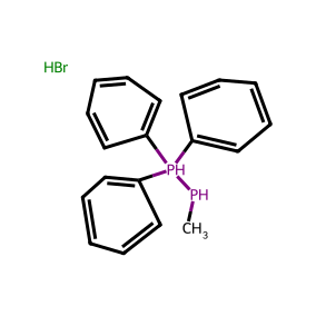 Br.CP[PH](c1ccccc1)(c1ccccc1)c1ccccc1